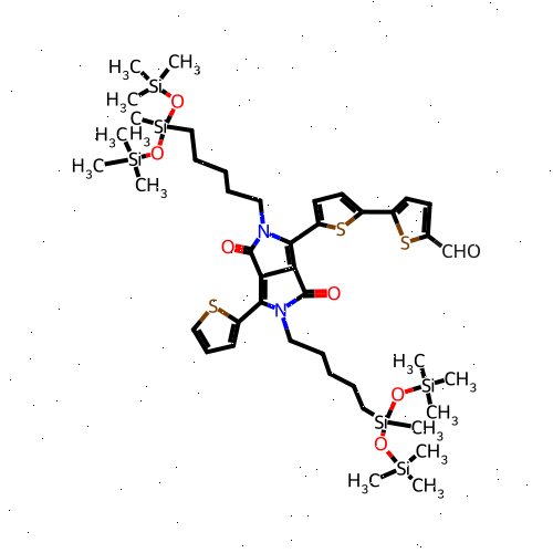 C[Si](C)(C)O[Si](C)(CCCCCN1C(=O)C2=C(c3ccc(-c4ccc(C=O)s4)s3)N(CCCCC[Si](C)(O[Si](C)(C)C)O[Si](C)(C)C)C(=O)C2=C1c1cccs1)O[Si](C)(C)C